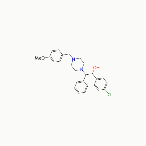 COc1ccc(CN2CCN(C(c3ccccc3)C(O)c3ccc(Cl)cc3)CC2)cc1